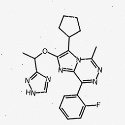 Cc1nnc(-c2ccccc2F)c2nc(OC(C)c3nc[nH]n3)c(C3CCCC3)n12